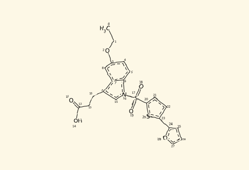 CCOc1ccc2c(c1)c(CCC(=O)O)cn2S(=O)(=O)c1ccc(-c2ccco2)s1